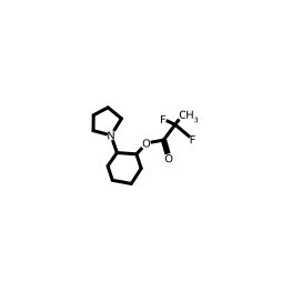 CC(F)(F)C(=O)OC1CCCCC1N1CCCC1